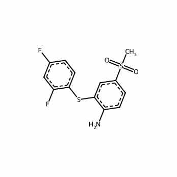 CS(=O)(=O)c1ccc(N)c(Sc2ccc(F)cc2F)c1